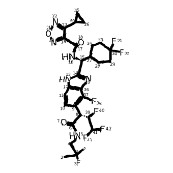 CC(C)(F)CNC(=O)[C@H](c1ccc2[nH]c([C@@H](NC(=O)c3nonc3C3CC3)C3CCC(F)(F)CC3)nc2c1F)C(F)C(F)F